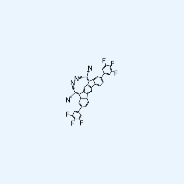 N#CC(C#N)=C1c2cc(-c3cc(F)c(F)c(F)c3)ccc2-c2cc3c(cc21)C(=C(C#N)C#N)c1cc(-c2cc(F)c(F)c(F)c2)ccc1-3